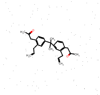 C=CCc1cc(C(C)(C)c2ccc(CC(C)=O)c(CC=C)c2)ccc1CC(C)=O